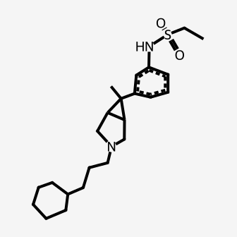 CCS(=O)(=O)Nc1cccc(C2(C)C3CN(CCCC4CCCCC4)CC32)c1